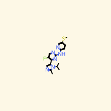 CSc1ccc(Nc2ncc(F)c(-c3cnc(C)n3C(C)C)n2)nc1